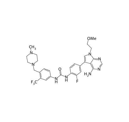 COCCn1cc(-c2ccc(NC(=O)Nc3ccc(CN4CCN(C)CC4)c(C(F)(F)F)c3)c(F)c2)c2c(N)ncnc21